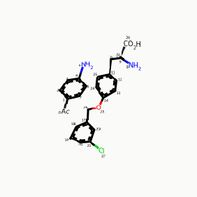 CC(=O)c1ccc(N)cc1.N[C@@H](Cc1ccc(OCc2cccc(Cl)c2)cc1)C(=O)O